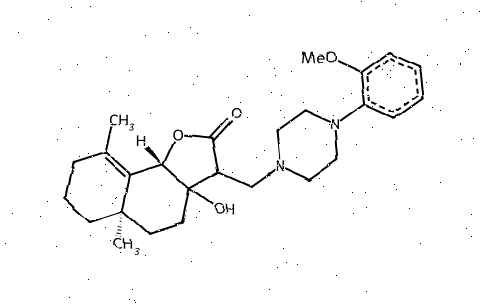 COc1ccccc1N1CCN(CC2C(=O)O[C@H]3C4=C(C)CCC[C@]4(C)CCC23O)CC1